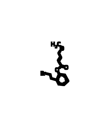 COCC=CC(=O)Oc1ccccc1CCBr